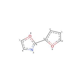 [c]1ccc(-c2ncco2)o1